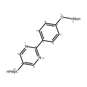 CCCCCCCCCOc1ccc(-c2ncc(CCCCCCC)cn2)cc1